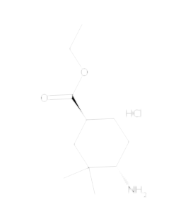 CCOC(=O)[C@H]1CC[C@H](N)C(C)(C)C1.Cl